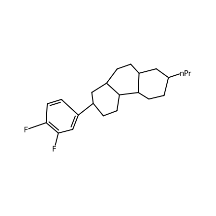 CCCC1CCC2C(CCC3CC(c4ccc(F)c(F)c4)CCC32)C1